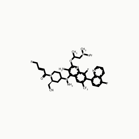 CCCN(C)CC(C)Oc1nc2c(F)c(-c3ccc(F)c4cccnc34)c(C(F)(F)F)cc2c(N(N)C2CCN(C(=O)/C=C/CF)[C@H](CC#N)C2)c1N